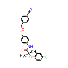 CC(C)(Oc1ccc(Cl)cc1)C(=O)Nc1ccc(OOCc2ccc(C#N)cc2)cc1